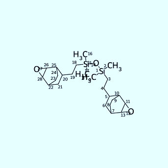 C[Si](C)(CCC1CC2CCC1C1OC21)O[Si](C)(C)CCC1CC2CCC1C1OC21